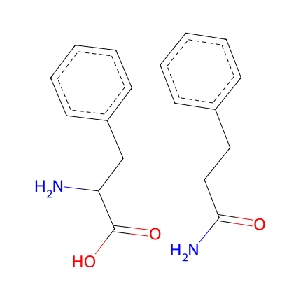 NC(=O)CCc1ccccc1.NC(Cc1ccccc1)C(=O)O